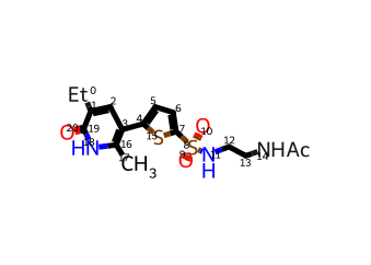 CCc1cc(-c2ccc(S(=O)(=O)NCCNC(C)=O)s2)c(C)[nH]c1=O